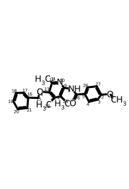 COc1ccc(C(=O)Nc2nc(C)c(OCc3ccccc3)c(C)c2C)cc1